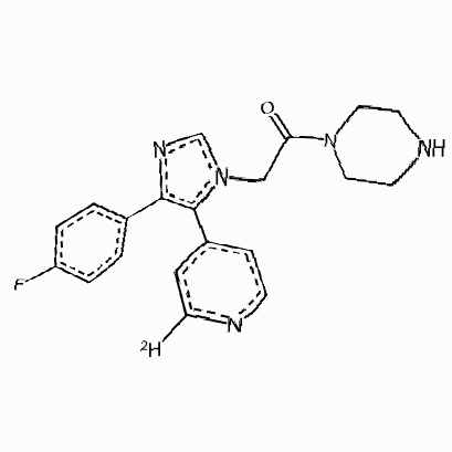 [2H]c1cc(-c2c(-c3ccc(F)cc3)ncn2CC(=O)N2CCNCC2)ccn1